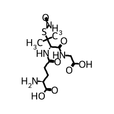 CC(C)(SN=O)[C@@H](NC(=O)CC[C@H](N)C(=O)O)C(=O)NCC(=O)O